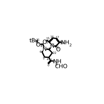 C=C(NC=O)C1CCN(C(=O)OC(C)(C)C)C(n2c(C)ccc(N)c2=O)C1